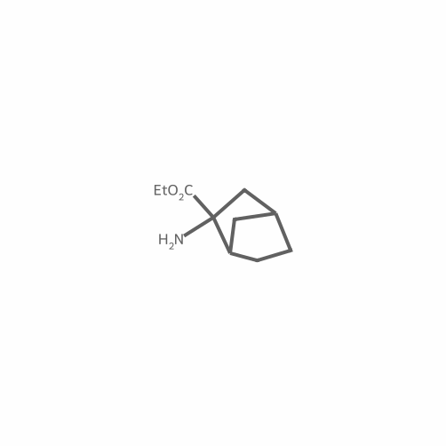 CCOC(=O)C1(N)CC2CCC1C2